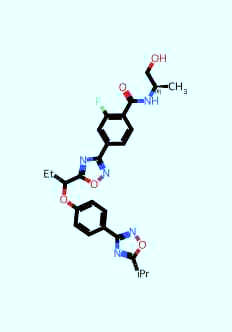 CCC(Oc1ccc(-c2noc(C(C)C)n2)cc1)c1nc(-c2ccc(C(=O)N[C@H](C)CO)c(F)c2)no1